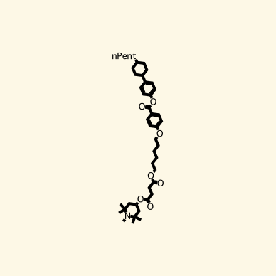 CCCCCC1CCC(c2ccc(OC(=O)c3ccc(OCCCCCCOC(=O)CCC(=O)OC4CC(C)(C)N(C)C(C)(C)C4)cc3)cc2)CC1